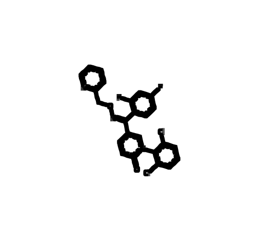 O=c1ccc(C(=NOCc2ccccn2)c2ccc(F)cc2F)cn1-c1c(Cl)cccc1Cl